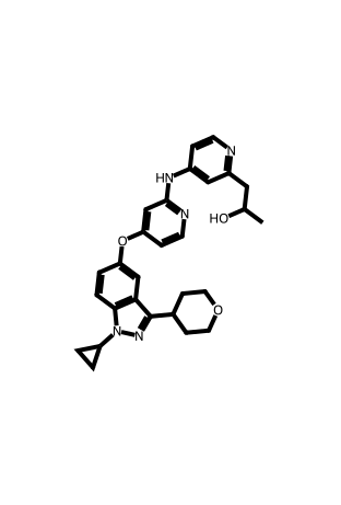 CC(O)Cc1cc(Nc2cc(Oc3ccc4c(c3)c(C3CCOCC3)nn4C3CC3)ccn2)ccn1